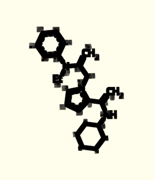 C=C(NC1CCCCC1)c1cccn1CC(=C)N(CC)c1ccccc1